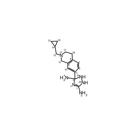 NC1=NC(N)(c2ccc3c(c2)CN(CC2CC2)CC3)NN1